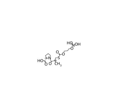 C[C@H](CSC(=O)OCCCON(O)O)C(=O)N1CCC[C@H]1C(=O)O